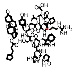 CC(=O)O.CCNC(=O)[C@@H]1CCCN1C(=O)[C@H](CCCNC(=N)N)NC(=O)[C@H](CC(C)C)NC(=O)[C@@H](CC(C)C)NC(=O)[C@H](Cc1ccc(O)cc1)NC(=O)[C@H](CO)NC(=O)[C@H](Cc1c[nH]c2ccccc12)NC(=O)[C@H](Cc1cnc[nH]1)NC(=O)[C@@H]1CCC(=O)N1.C[C@]12CC[C@H]3[C@@H](CCC4=CC(=O)CC[C@@]43C)[C@@H]1CC[C@@H]2OC(=O)CCC1CCCC1